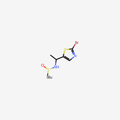 CC(N[S+]([O-])C(C)(C)C)c1cnc(Br)s1